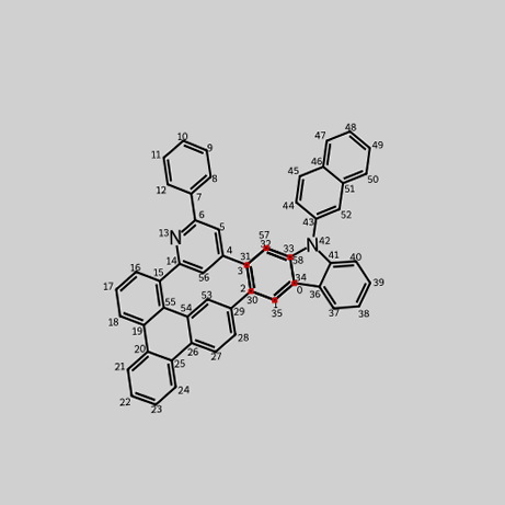 c1ccc(-c2cc(-c3ccccc3)nc(-c3cccc4c5ccccc5c5ccc(-c6ccc7c(c6)c6ccccc6n7-c6ccc7ccccc7c6)cc5c34)c2)cc1